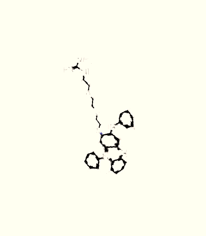 N=C(N)NCCOCCOCC/N=c1/cc2n(-c3ccccc3)c3ccccc3nc-2cc1Nc1ccccc1